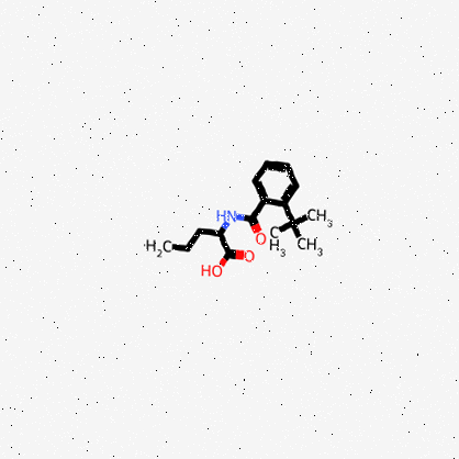 [CH2]CCC(NC(=O)c1ccccc1C(C)(C)C)C(=O)O